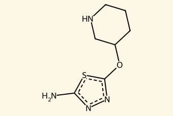 Nc1nnc(OC2CCCNC2)s1